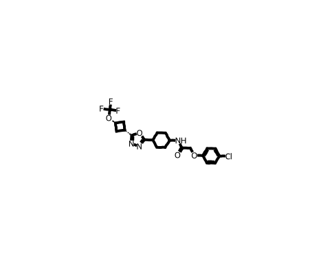 O=C(COc1ccc(Cl)cc1)NC1CCC(c2nnc([C@H]3C[C@@H](OC(F)(F)F)C3)o2)CC1